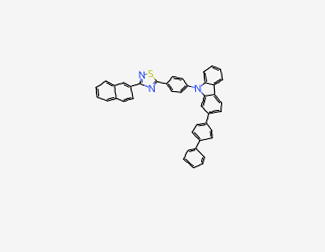 c1ccc(-c2ccc(-c3ccc4c5ccccc5n(-c5ccc(-c6nc(-c7ccc8ccccc8c7)ns6)cc5)c4c3)cc2)cc1